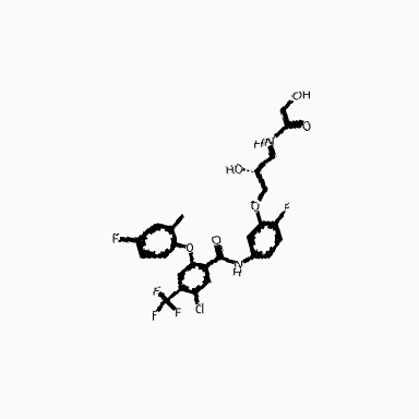 Cc1cc(F)ccc1Oc1cc(C(F)(F)F)c(Cl)cc1C(=O)Nc1ccc(F)c(OC[C@H](O)CNC(=O)CO)c1